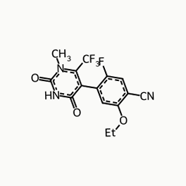 CCOc1cc(-c2c(C(F)(F)F)n(C)c(=O)[nH]c2=O)c(F)cc1C#N